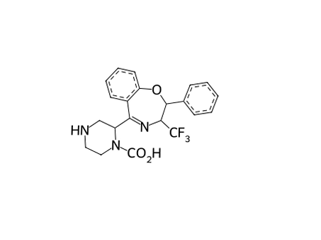 O=C(O)N1CCNCC1C1=NC(C(F)(F)F)C(c2ccccc2)Oc2ccccc21